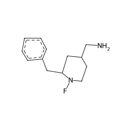 NCC1CCN(F)C(Cc2ccccc2)C1